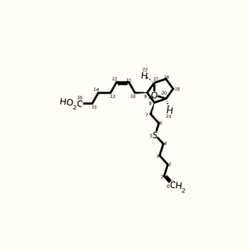 C=CCCCSCC[C@H]1[C@@H](C/C=C\CCCC(=O)O)[C@H]2CC[C@@H]1O2